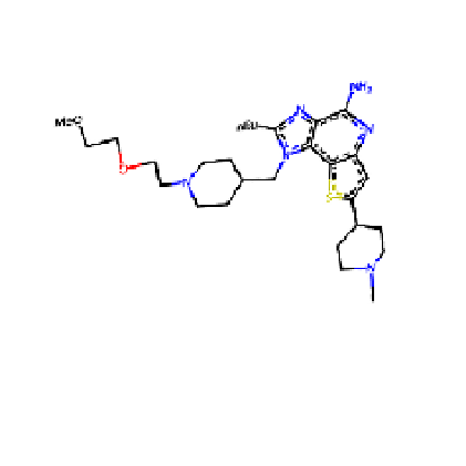 CCCCc1nc2c(N)nc3cc(C4CCN(C)CC4)sc3c2n1CC1CCN(CCOCCOC)CC1